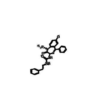 CN1C(=O)C(NC(=O)NCCc2ccccc2)N=C(c2ccccc2)c2cc(Cl)ccc21